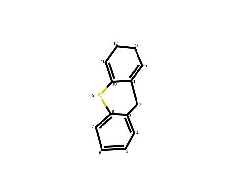 C1=C2Cc3ccccc3SC2=CCC1